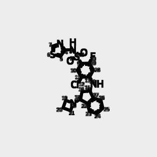 O=S(=O)(Nc1cscn1)c1cc(Cl)c(N[C@H]2C[C@H](N3CCC3)c3ccccc32)cc1F